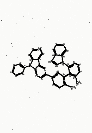 Cc1ccc(-c2ccc3c(c2)c2ccccc2n3-c2ccccc2)cc1-c1c(C)cccc1-n1cnc2ccccc21